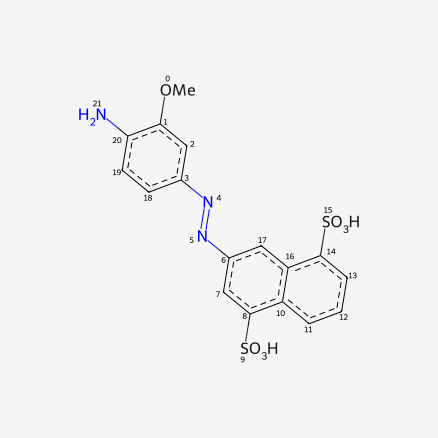 COc1cc(N=Nc2cc(S(=O)(=O)O)c3cccc(S(=O)(=O)O)c3c2)ccc1N